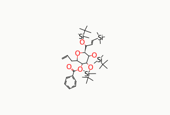 C=CCC1O[C@@H](C(/C=C/[Si](C)(C)C)O[Si](C)(C)C(C)(C)C)C(O[Si](C)(C)C(C)(C)C)C(O[Si](C)(C)C(C)(C)C)C1OC(=O)c1ccccc1